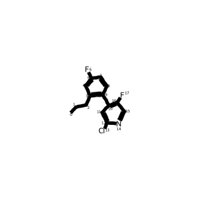 CCCc1cc(F)ccc1-c1cc(Cl)ncc1F